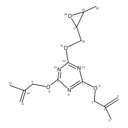 C=C(C)COc1nc(OCC(=C)C)nc(OCC2OC2C)n1